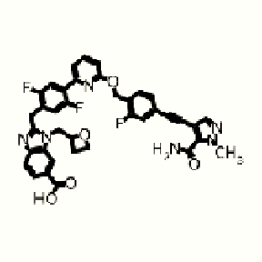 Cn1ncc(C#Cc2ccc(COc3cccc(-c4cc(F)c(Cc5nc6ccc(C(=O)O)cc6n5CC5CCO5)cc4F)n3)c(F)c2)c1C(N)=O